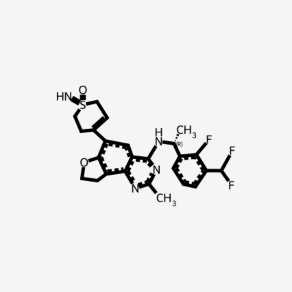 Cc1nc(N[C@H](C)c2cccc(C(F)F)c2F)c2cc(C3=CCS(=N)(=O)CC3)c3c(c2n1)CCO3